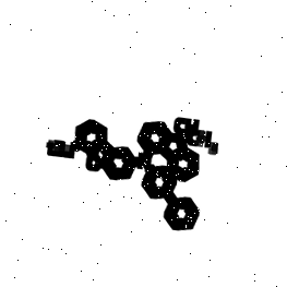 CC(C)(C)c1cccc2c1oc1ccc(N(c3ccc(-c4ccccc4)cc3)c3cccc4c3-c3ccccc3C4(C)C)cc12